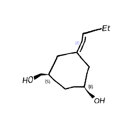 CC/C=C1\C[C@@H](O)C[C@@H](O)C1